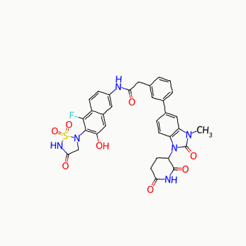 Cn1c(=O)n(C2CCC(=O)NC2=O)c2ccc(-c3cccc(CC(=O)Nc4ccc5c(F)c(N6CC(=O)NS6(=O)=O)c(O)cc5c4)c3)cc21